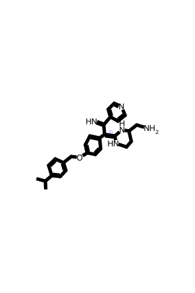 CC(C)c1ccc(COc2ccc(/C(C(=N)c3ccncc3)=C3\NCCC(CN)N3)cc2)cc1